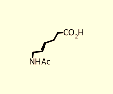 CC(=O)NCC=CCCC(=O)O